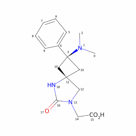 CN(C)[C@]1(c2ccccc2)C[C@]2(CN(CC(=O)O)C(=O)N2)C1